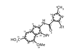 CCc1nc(C)sc1C(=O)Nc1nc2cc(C(=O)O)cc(OC)c2n1C(C)C